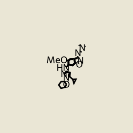 COc1cc2c(N=CN(C)C)noc2cc1Nc1cc(C2CC2)n(C2CCCCO2)n1